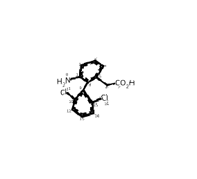 Nc1cccc(CC(=O)O)c1-c1c(Cl)cccc1Cl